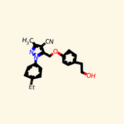 CCc1ccc(-n2nc(C)c(C#N)c2COc2ccc(CCO)cc2)cc1